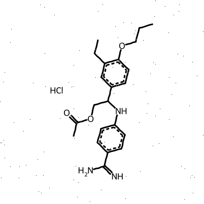 CCCOc1ccc(C(COC(C)=O)Nc2ccc(C(=N)N)cc2)cc1CC.Cl